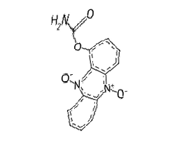 NC(=O)Oc1cccc2c1[n+]([O-])c1ccccc1[n+]2[O-]